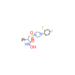 CC(C)C(CS(=O)(=O)N1CCN(c2ccc(F)cc2F)CC1)C(=O)NO